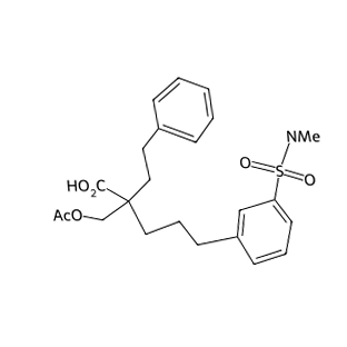 CNS(=O)(=O)c1cccc(CCCC(CCc2ccccc2)(COC(C)=O)C(=O)O)c1